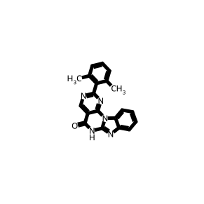 Cc1cccc(C)c1-c1ncc2c(=O)[nH]c3nc4ccccc4n3c2n1